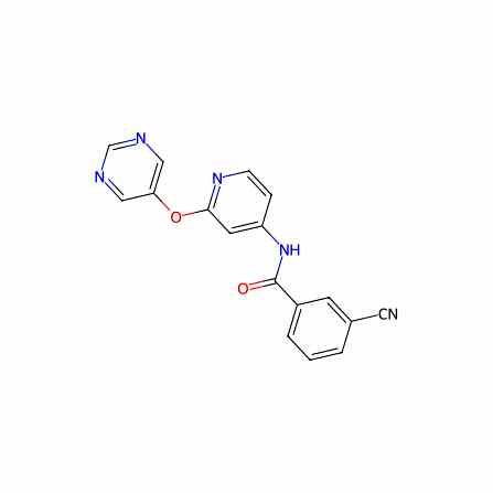 N#Cc1cccc(C(=O)Nc2ccnc(Oc3cncnc3)c2)c1